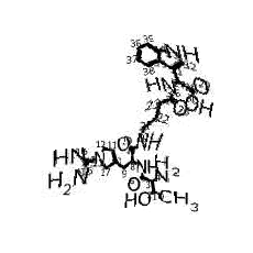 CC(O)C(N)C(=O)NC(CC1=CCN(C(=N)N)C1)C(=O)NCCCC(=O)NC(C(=O)O)c1c[nH]c2ccccc12